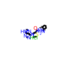 Cl.N[C@@H]1CCC[C@@H]1CNC(=O)C1=CN(c2ncnc3[nH]cnc23)CCS1